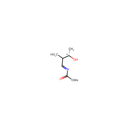 COC(=O)N=CC(C(=O)O)[C@H](C)O